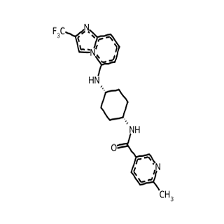 Cc1ccc(C(=O)N[C@H]2CC[C@@H](Nc3cccc4nc(C(F)(F)F)cn34)CC2)cn1